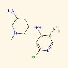 CN1CC(N)CC(Nc2cc(Br)ncc2[N+](=O)[O-])C1